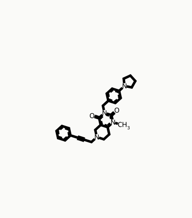 Cn1c2c(c(=O)n(Cc3ccc(N4CCCC4)cc3)c1=O)CN(CC#Cc1ccccc1)CC2